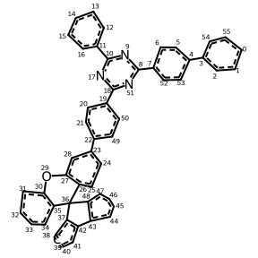 c1ccc(-c2ccc(-c3nc(-c4ccccc4)nc(-c4ccc(-c5ccc6c(c5)Oc5ccccc5C65c6ccccc6-c6ccccc65)cc4)n3)cc2)cc1